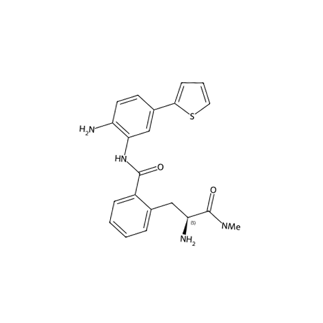 CNC(=O)[C@@H](N)Cc1ccccc1C(=O)Nc1cc(-c2cccs2)ccc1N